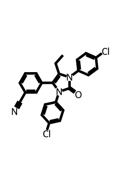 CCc1c(-c2cccc(C#N)c2)n(-c2ccc(Cl)cc2)c(=O)n1-c1ccc(Cl)cc1